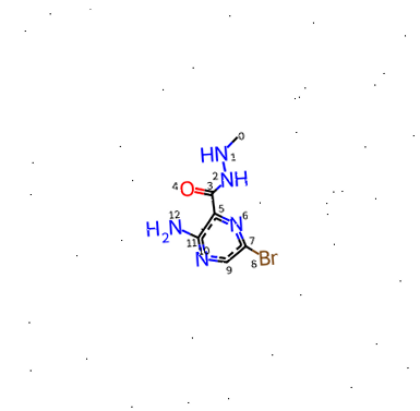 CNNC(=O)c1nc(Br)cnc1N